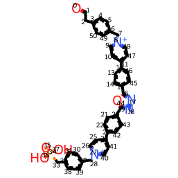 O=CCc1ccc(C[n+]2ccc(-c3ccc(-c4nnc(-c5ccc(-c6cc[n+](Cc7ccc(CP(=O)(O)O)cc7)cc6)cc5)o4)cc3)cc2)cc1